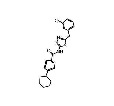 O=C(Nc1nnc(Cc2cccc(Cl)c2)s1)c1ccc(C2CC[CH]CC2)cc1